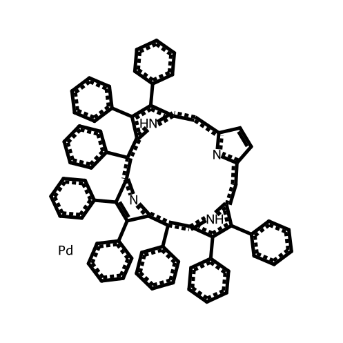 C1=Cc2cc3[nH]c(c(-c4ccccc4)c4nc(c(-c5ccccc5)c5[nH]c(cc1n2)c(-c1ccccc1)c5-c1ccccc1)C(c1ccccc1)=C4c1ccccc1)c(-c1ccccc1)c3-c1ccccc1.[Pd]